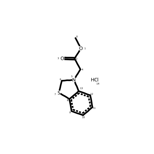 COC(=O)CN1CSc2ccccc21.Cl